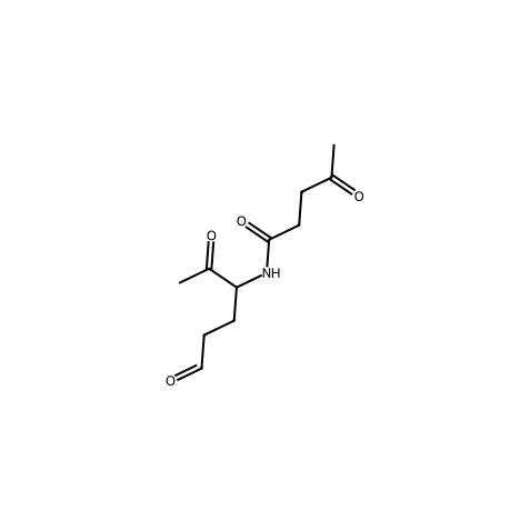 CC(=O)CCC(=O)NC(CCC=O)C(C)=O